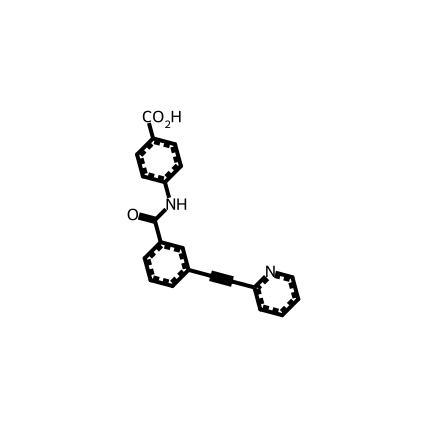 O=C(O)c1ccc(NC(=O)c2cccc(C#Cc3ccccn3)c2)cc1